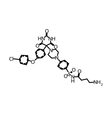 NCCCC(=O)NS(=O)(=O)c1ccc(N2CCN(C3(c4ccc(Oc5ccc(Cl)cc5)cc4)C(=O)NC(=O)NC3=O)CC2)cc1